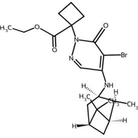 CCOC(=O)C1(n2ncc(N[C@@H]3C[C@H]4C[C@H]([C@@H]3C)C4(C)C)c(Br)c2=O)CCC1